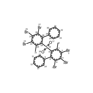 Cc1c(Br)c(Br)c(Br)c(-c2ccccc2)c1S(=O)(=O)c1c(C)c(Br)c(Br)c(Br)c1-c1ccccc1